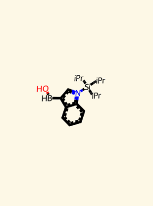 CC(C)[Si](C(C)C)(C(C)C)n1cc(BO)c2ccccc21